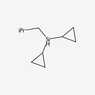 CC(C)C[SiH](C1CC1)C1CC1